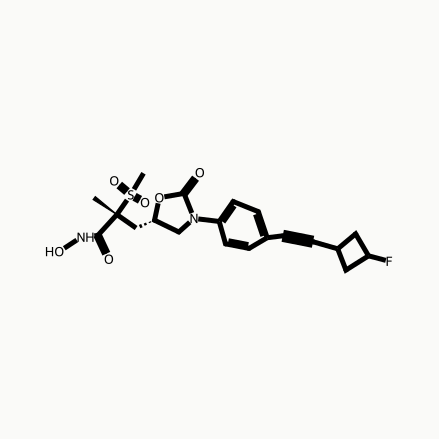 C[C@@](C[C@H]1CN(c2ccc(C#CC3CC(F)C3)cc2)C(=O)O1)(C(=O)NO)S(C)(=O)=O